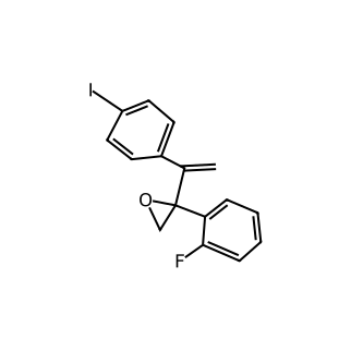 C=C(c1ccc(I)cc1)C1(c2ccccc2F)CO1